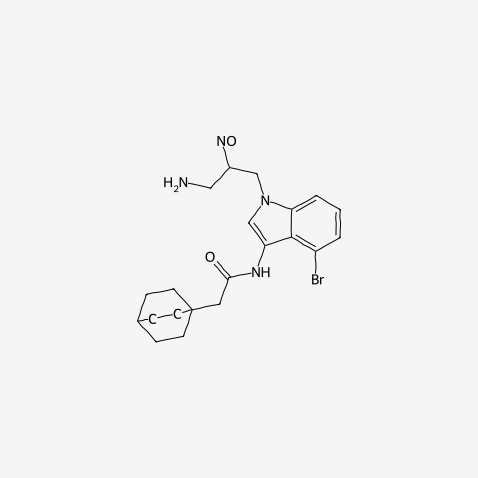 NCC(Cn1cc(NC(=O)CC23CCC(CC2)CC3)c2c(Br)cccc21)N=O